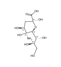 N[C@]1(O)[C@@H](O)C[C@@](O)(C(=O)O)O[C@H]1[C@H](O)[C@H](O)CO